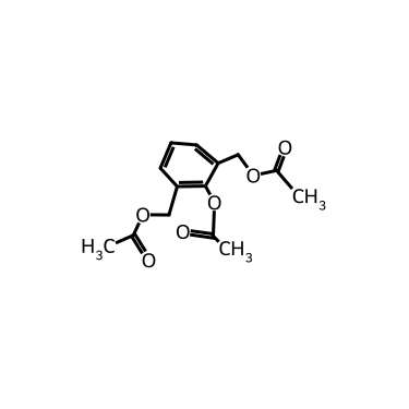 CC(=O)OCc1cccc(COC(C)=O)c1OC(C)=O